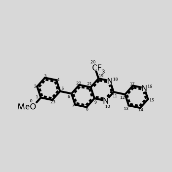 COc1cccc(-c2ccc3nc(-c4cccnc4)nc(C(F)(F)F)c3c2)c1